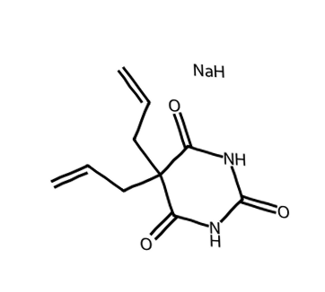 C=CCC1(CC=C)C(=O)NC(=O)NC1=O.[NaH]